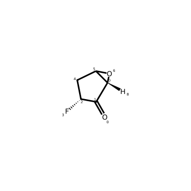 O=C1[C@H](F)CC2O[C@H]12